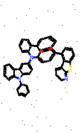 c1ccc(-c2ccccc2N(c2ccc(-c3cccc4sc5ncccc5c34)cc2)c2ccc3c(c2)c2ccccc2n3-c2ccccc2)cc1